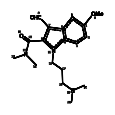 COc1ccc2c(c1)c(C=O)c(C(=O)N(C)C)n2CCCN(C)C